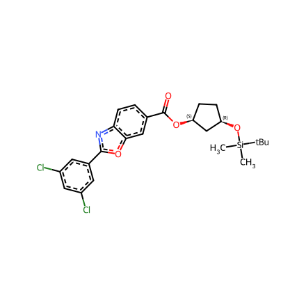 CC(C)(C)[Si](C)(C)O[C@@H]1CC[C@H](OC(=O)c2ccc3nc(-c4cc(Cl)cc(Cl)c4)oc3c2)C1